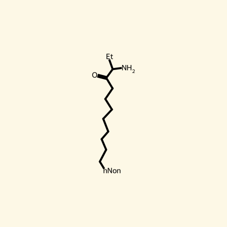 CCCCCCCCCCCCCCCCCC(=O)C(N)CC